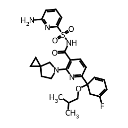 CC(C)COC1(c2ccc(C(=O)NS(=O)(=O)c3cccc(N)n3)c(N3CCC4(CC4)C3)n2)C=CC=C(F)C1